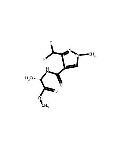 COC(=O)[C@H](C)NC(=O)c1cn(C)nc1C(F)F